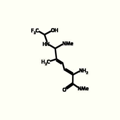 CNC(=O)/C(N)=C/C=C(\C)C(NC)NC(O)C(F)(F)F